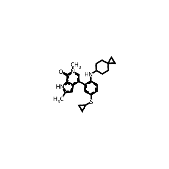 Cc1cc2c(-c3cc(SC4CC4)ccc3NC3CCC4(CC3)CC4)cn(C)c(=O)c2[nH]1